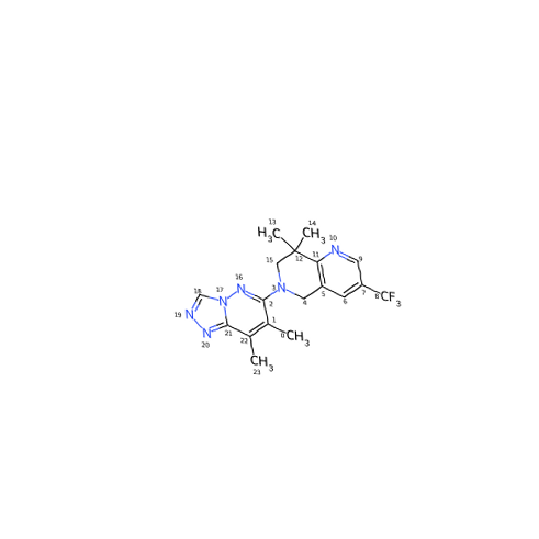 Cc1c(N2Cc3cc(C(F)(F)F)cnc3C(C)(C)C2)nn2cnnc2c1C